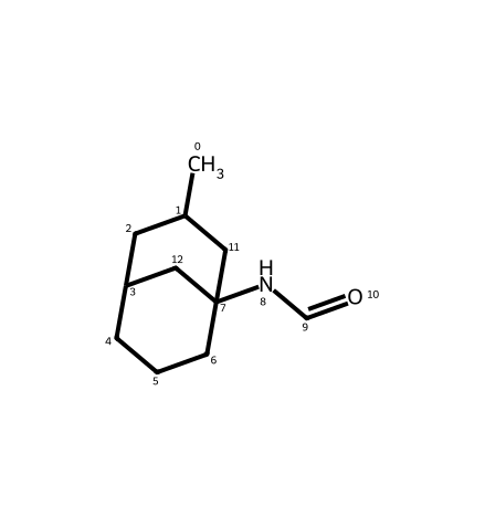 CC1CC2CCCC(NC=O)(C1)C2